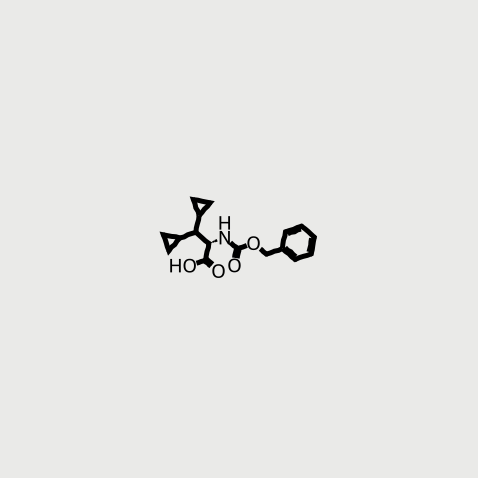 O=C(N[C@H](C(=O)O)C(C1CC1)C1CC1)OCc1ccccc1